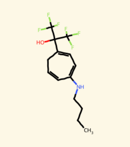 CCCCNC1=CC=C(C(O)(C(F)(F)F)C(F)(F)F)CC=C1